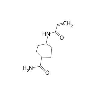 C=CC(=O)NC1CCC(C(N)=O)CC1